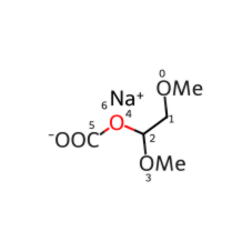 COCC(OC)OC(=O)[O-].[Na+]